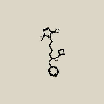 O=C1C=CC(=O)N1CCCCC(Cc1ccccc1)SC1=CCC1